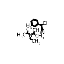 CCN(C(C)C)C(C)C.N#CC(Cl)c1ccccc1